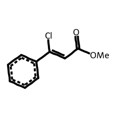 COC(=O)C=C(Cl)c1ccccc1